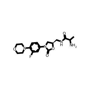 CC(N)C(=O)NC[C@@H]1CN(c2ccc(N3CCOCC3)c(F)c2)C(=O)O1